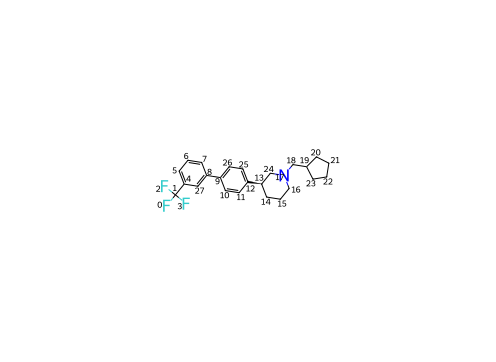 FC(F)(F)c1cccc(-c2ccc([C@@H]3CCCN(CC4CCCC4)C3)cc2)c1